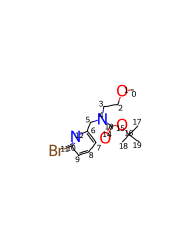 COCCN(Cc1cccc(Br)n1)C(=O)OC(C)(C)C